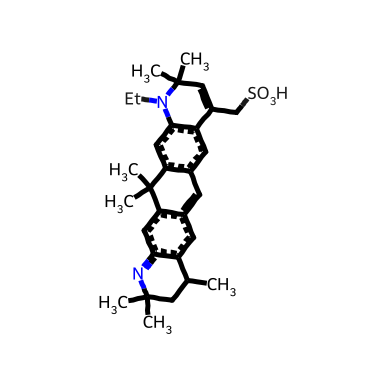 CCN1c2cc3c(cc2C(CS(=O)(=O)O)=CC1(C)C)C=c1cc2c(cc1C3(C)C)=NC(C)(C)CC2C